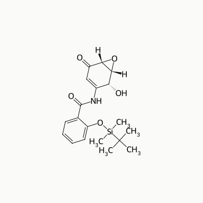 CC(C)(C)[Si](C)(C)Oc1ccccc1C(=O)NC1=CC(=O)[C@@H]2O[C@@H]2[C@@H]1O